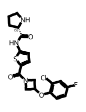 O=C(Nc1ccc(C(=O)N2CC(Oc3ccc(F)cc3Cl)C2)s1)[C@@H]1CCCN1